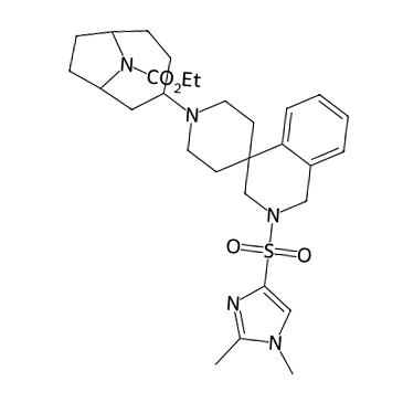 CCOC(=O)N1C2CCC(N3CCC4(CC3)CN(S(=O)(=O)c3cn(C)c(C)n3)Cc3ccccc34)CC1CC2